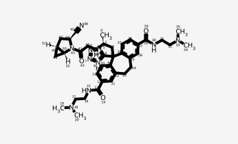 C[C@H](CC1(c2nnn[nH]2)c2ccc(C(=O)NCCN(C)C)cc2CCc2cc(C(=O)NCCN(C)C)ccc21)NCC(=O)N1[C@H](C#N)C[C@@H]2C[C@@H]21